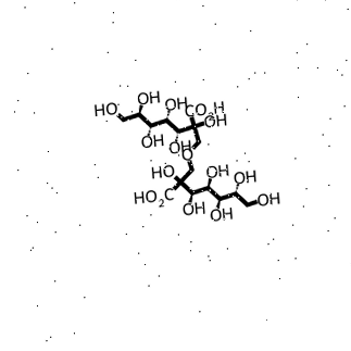 O=C(O)C(O)(COCC(O)(C(=O)O)[C@H](O)[C@@H](O)[C@H](O)[C@H](O)CO)[C@H](O)[C@@H](O)[C@H](O)[C@H](O)CO